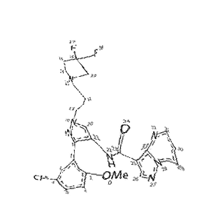 COc1ccc(Cl)cc1-c1nn(CCN2CCC(F)(F)C2)cc1NC(=O)c1cnn2cccnc12